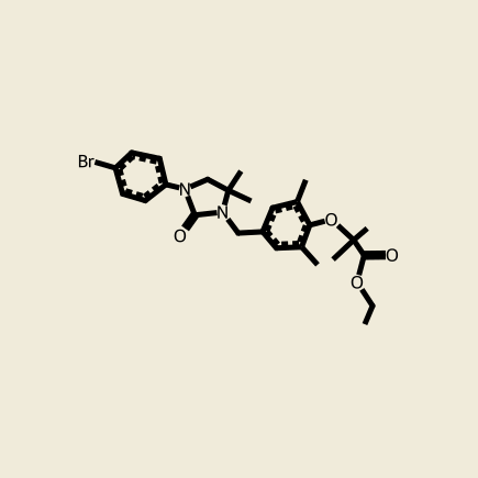 CCOC(=O)C(C)(C)Oc1c(C)cc(CN2C(=O)N(c3ccc(Br)cc3)CC2(C)C)cc1C